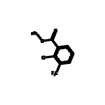 CCCOC(=O)c1cccc(C(F)(F)F)c1Cl